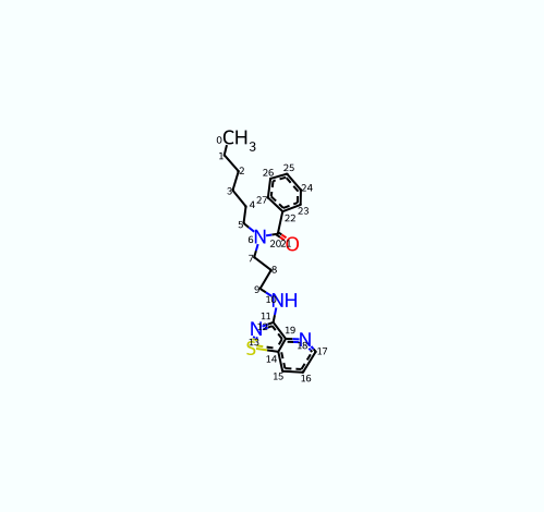 CCCCCCN(CCCNc1nsc2cccnc12)C(=O)c1ccccc1